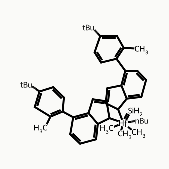 CCC[CH2][Hf]([CH3])([CH3])([CH3])(=[SiH2])([CH]1C=Cc2c(-c3ccc(C(C)(C)C)cc3C)cccc21)[CH]1C=Cc2c(-c3ccc(C(C)(C)C)cc3C)cccc21